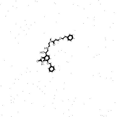 CN(CCNC[C@H](O)c1ccc(OCc2ccccc2)c2[nH]c(=O)sc12)C(=O)CCOCCc1ccccc1